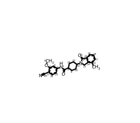 COc1cc(NC(=O)C2CCC(N3Cc4c(C)cccc4C3=O)CC2)ccc1C#N